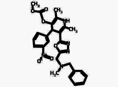 COC(=O)OC1=C(C)NC(C)=C(c2nnc(CN(C)Cc3ccccc3)o2)C1c1cccc([N+](=O)[O-])c1